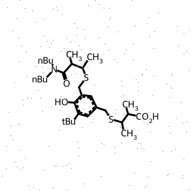 CCCCN(CCCC)C(=O)C(C)C(C)SCc1cc(CSC(C)C(C)C(=O)O)cc(C(C)(C)C)c1O